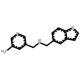 Cc1cncc(CNCc2ccc3occc3c2)c1